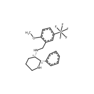 COc1ccc(S(F)(F)(F)(F)F)cc1CN[C@H]1CCCN[C@H]1c1ccccc1